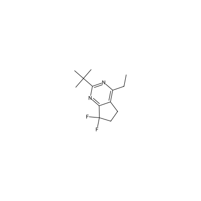 CCc1nc(C(C)(C)C)nc2c1CCC2(F)F